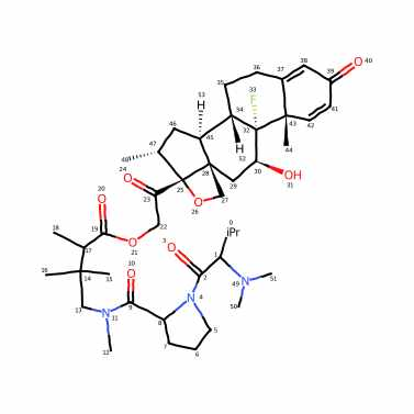 CC(C)C(C(=O)N1CCCC1C(=O)N(C)CC(C)(C)C(C)C(=O)OCC(=O)[C@]12OC[C@@]13C[C@H](O)[C@@]1(F)[C@@H](CCC4=CC(=O)C=C[C@@]41C)[C@@H]3C[C@H]2C)N(C)C